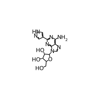 Nc1nc(-c2cn[nH]c2)nc2c1ncn2C1OC(CO)[C@@H](O)[C@H]1O